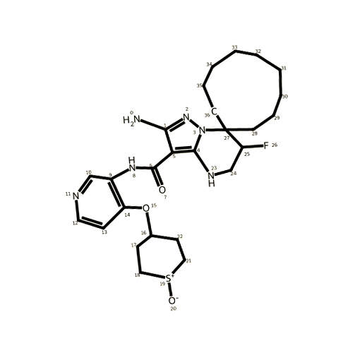 Nc1nn2c(c1C(=O)Nc1cnccc1OC1CC[S+]([O-])CC1)NCC(F)C21CCCCCCCCC1